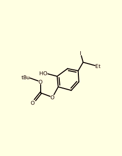 CCC(I)c1ccc(OC(=O)OC(C)(C)C)c(O)c1